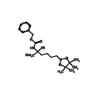 CCOC(=O)C(C#N)(CCCCB1OC(C)(C)C(C)(C)O1)NC(=O)OCc1ccccc1